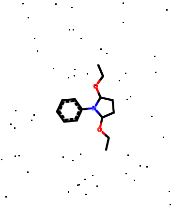 CCOC1CCC(OCC)N1c1ccccc1